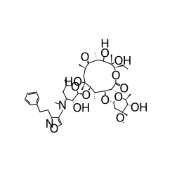 CC[C@H]1OC(=O)[C@H](C)[C@@H](O[C@H]2C[C@@](C)(OC)[C@@H](O)[C@H](C)O2)[C@H](C)[C@@H](O[C@@H]2O[C@H](C)C[C@H](N(C)Cc3conc3CCc3ccccc3)[C@H]2O)[C@](C)(O)C[C@@H](C)C(=O)[C@H](C)[C@@H](O)[C@]1(C)O